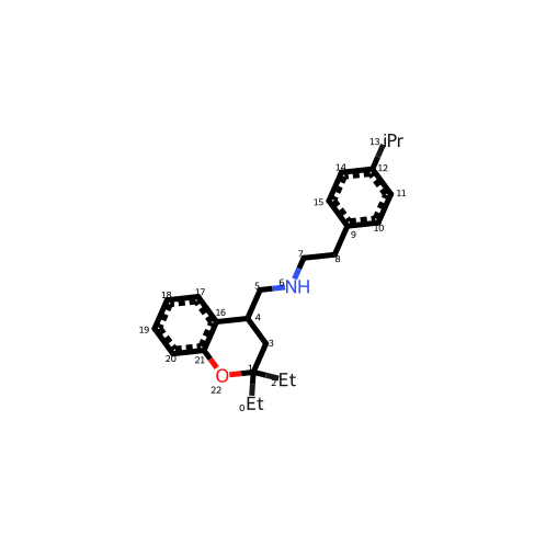 CCC1(CC)CC(CNCCc2ccc(C(C)C)cc2)c2ccccc2O1